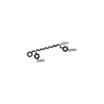 CCCCCCCCN(C/C=C/CCCCCCCCN(CC1CCCCC1)c1ccc(OC)cc1)Cc1ccc(OC)cc1